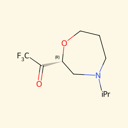 CC(C)N1CCCO[C@@H](C(=O)C(F)(F)F)C1